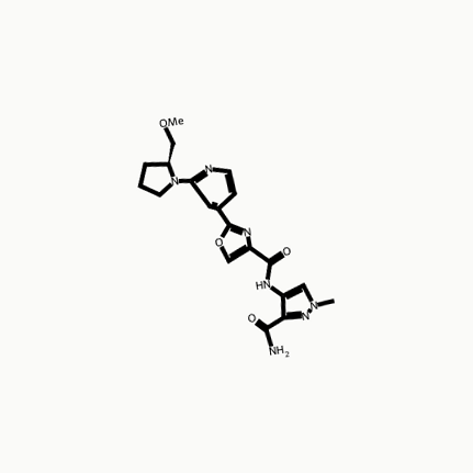 COC[C@@H]1CCCN1c1cc(-c2nc(C(=O)Nc3cn(C)nc3C(N)=O)co2)ccn1